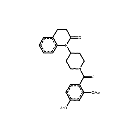 COc1cc(OC(C)=O)ccc1C(=O)N1CCC(N2C(=O)CCc3ccccc32)CC1